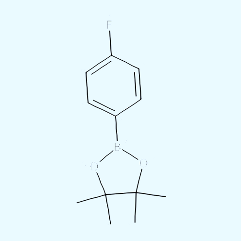 CC1(C)OB(c2ccc(F)cc2)OC1(C)C